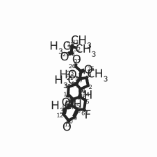 CC1C[C@H]2[C@@H]3CC(F)C4=CC(=O)C=C[C@]4(C)[C@]34OC4C[C@]2(C)[C@@]1(O)C(=O)COC(=O)C(C)(C)C